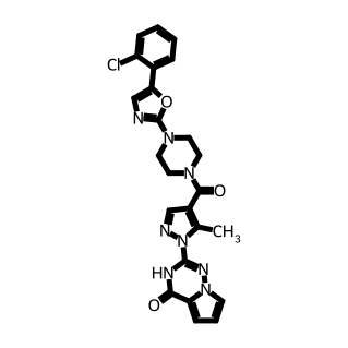 Cc1c(C(=O)N2CCN(c3ncc(-c4ccccc4Cl)o3)CC2)cnn1-c1nn2cccc2c(=O)[nH]1